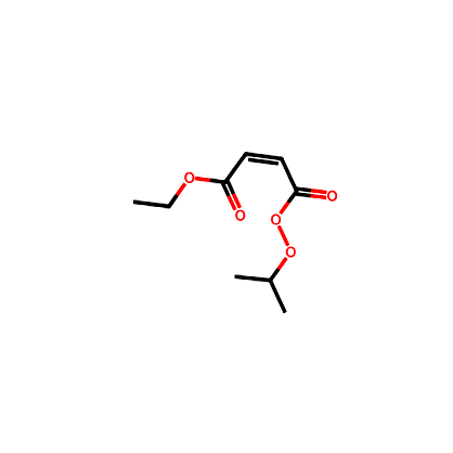 CCOC(=O)/C=C\C(=O)OOC(C)C